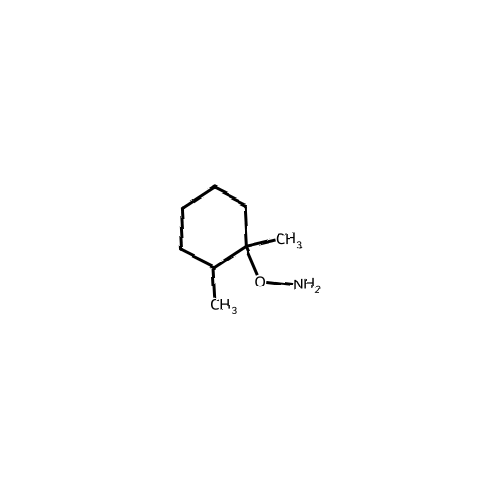 CC1CCCCC1(C)ON